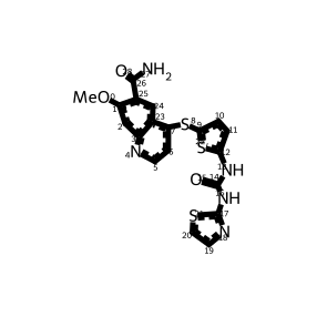 COc1cc2nccc(Sc3ccc(NC(=O)Nc4nccs4)s3)c2cc1C(N)=O